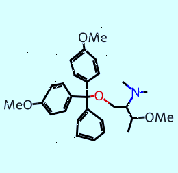 COc1ccc(C(OCC(C(C)OC)N(C)C)(c2ccccc2)c2ccc(OC)cc2)cc1